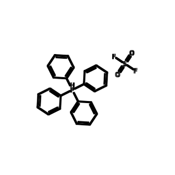 O=S(=O)(F)F.c1ccc([PH](c2ccccc2)(c2ccccc2)c2ccccc2)cc1